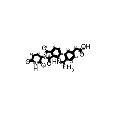 CC(Nc1cccc2c1C(=O)N(C1CCC(=O)NC1=O)C2=O)c1ccc(CC(=O)O)cc1